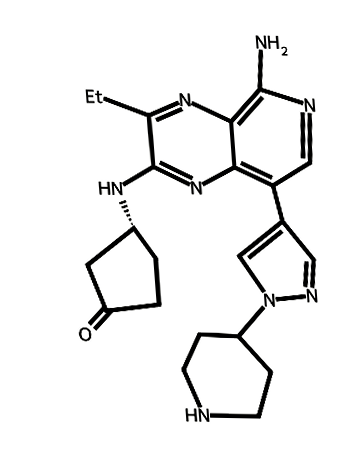 CCc1nc2c(N)ncc(-c3cnn(C4CCNCC4)c3)c2nc1N[C@@H]1CCC(=O)C1